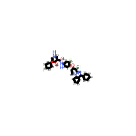 O=C(Nc1ccc(Oc2ccnc(N=C(c3ccccc3)c3ccccc3)c2Cl)c(F)c1)c1c[nH]cc(-c2ccc(F)cc2)c1=O